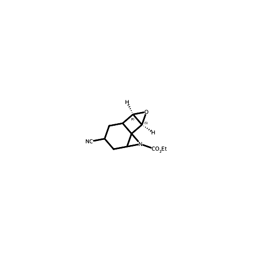 CCOC(=O)N1C2CC(C#N)CC3[C@H]4O[C@H]4C321